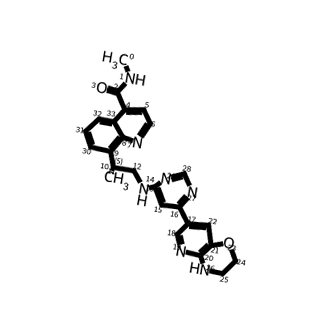 CNC(=O)c1ccnc2c([C@H](C)CNc3cc(-c4cnc5c(c4)OCCN5)ncn3)cccc12